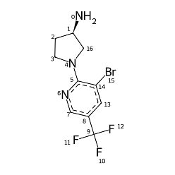 N[C@@H]1CCN(c2ncc(C(F)(F)F)cc2Br)C1